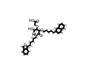 O=C(O)COC(C(=O)O)C(OCCCCCc1ccc2ccccc2c1)C(=O)NCCCCCc1occ2ccccc12